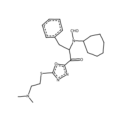 CN(C)CCSc1nnc(C(=O)C(Cc2ccccc2)N(C=O)C2CCCCCC2)o1